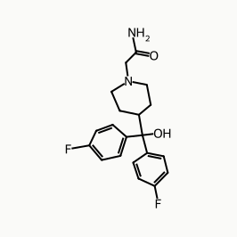 NC(=O)CN1CCC(C(O)(c2ccc(F)cc2)c2ccc(F)cc2)CC1